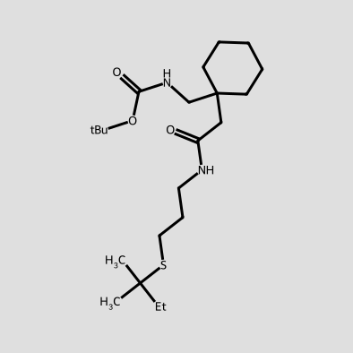 CCC(C)(C)SCCCNC(=O)CC1(CNC(=O)OC(C)(C)C)CCCCC1